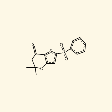 CC1(C)CC(=S)c2sc(S(=O)(=O)c3ccccc3)cc2O1